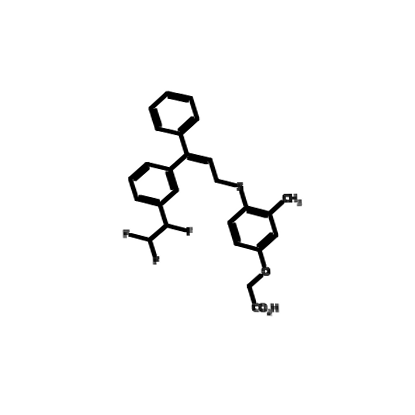 Cc1cc(OCC(=O)O)ccc1SCC=C(c1ccccc1)c1cccc(C(F)C(F)F)c1